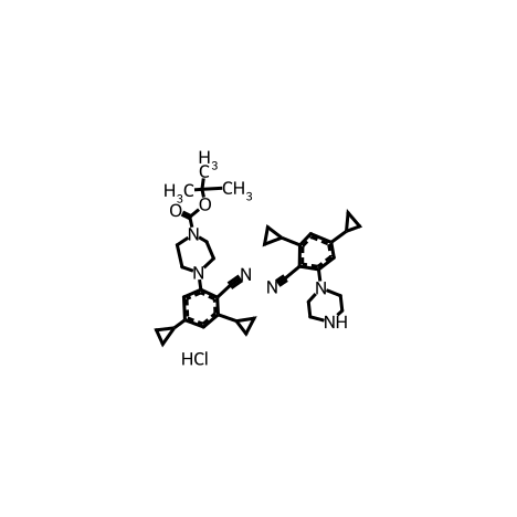 CC(C)(C)OC(=O)N1CCN(c2cc(C3CC3)cc(C3CC3)c2C#N)CC1.Cl.N#Cc1c(C2CC2)cc(C2CC2)cc1N1CCNCC1